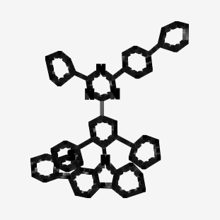 c1ccc(-c2ccc(-c3nc(-c4ccccc4)nc(-c4cc(-c5ccccc5)c(-n5c6ccccc6c6ccc7c8ccccc8sc7c65)c(-c5ccccc5)c4)n3)cc2)cc1